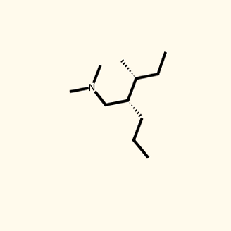 CCC[C@H](CN(C)C)[C@H](C)CC